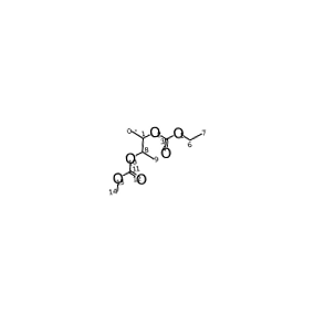 [CH2]C(OC(=O)OCC)C(C)OC(=O)OC